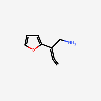 C=C=C(CN)c1ccco1